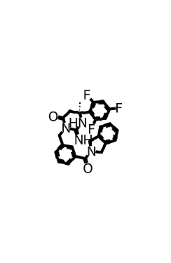 C[C@@]1(c2c(F)cc(F)cc2F)CC(=O)N(Cc2cccc(C(=O)N3Cc4ccccc4C3)c2)C(=N)N1